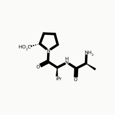 CC(C)[C@H](NC(=O)[C@H](C)N)C(=O)N1CCC[C@H]1C(=O)O